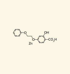 O=C(O)c1ccc(OCCOc2ccccc2)cc1O.[Zn]